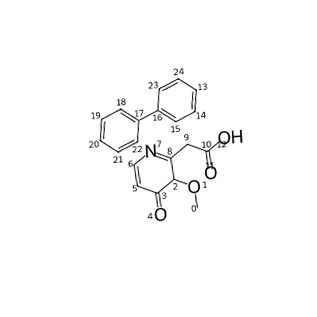 COC1C(=O)C=CN=C1CC(=O)O.c1ccc(-c2ccccc2)cc1